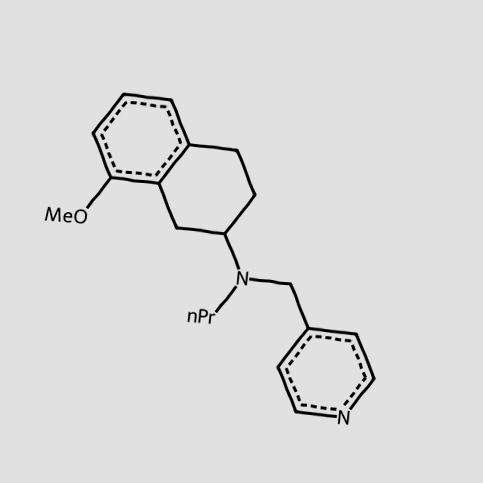 CCCN(Cc1ccncc1)C1CCc2cccc(OC)c2C1